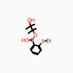 CCSc1ccccc1B(O)OC(C)(C)C(C)(C)O